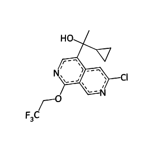 CC(O)(c1cnc(OCC(F)(F)F)c2cnc(Cl)cc12)C1CC1